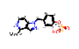 COc1nccc2c1cnn2Cc1ccc(O[PH](=O)O)cc1